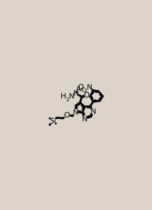 CC(=O)N(N)C(=O)c1cn(COCC[Si](C)(C)C)c2ncnc(-c3cccc([N+](=O)[O-])c3)c12